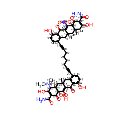 CN(C)[C@@H]1C(O)=C(C(N)=O)C(=O)[C@@]2(O)C(O)=C3C(=O)c4c(O)ccc(C#CCCCCC#Cc5ccc(O)c6c5C[C@H]5C[C@H]7CC(O)=C(C(N)=O)C(=O)[C@@]7(O)C(N=O)=C5C6=O)c4C[C@H]3C[C@@H]12